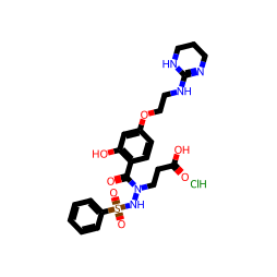 Cl.O=C(O)CCN(NS(=O)(=O)c1ccccc1)C(=O)c1ccc(OCCNC2=NCCCN2)cc1O